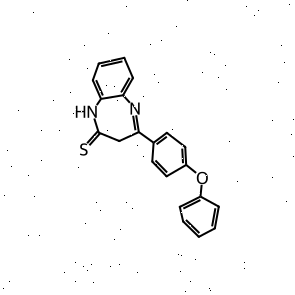 S=C1CC(c2ccc(Oc3ccccc3)cc2)=Nc2ccccc2N1